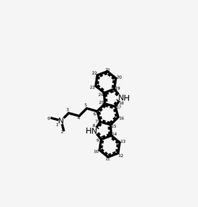 CN(C)CCCc1c2[nH]c3ccccc3c2cc2[nH]c3ccccc3c12